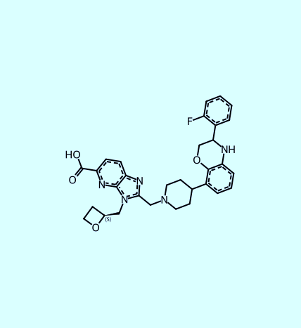 O=C(O)c1ccc2nc(CN3CCC(c4cccc5c4OCC(c4ccccc4F)N5)CC3)n(C[C@@H]3CCO3)c2n1